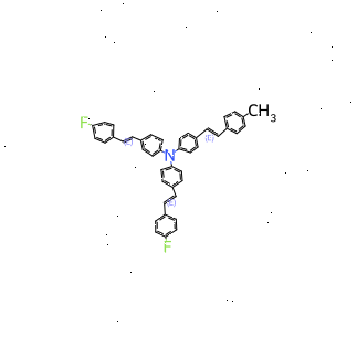 Cc1ccc(/C=C/c2ccc(N(c3ccc(/C=C/c4ccc(F)cc4)cc3)c3ccc(/C=C/c4ccc(F)cc4)cc3)cc2)cc1